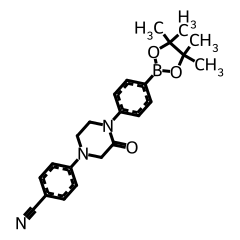 CC1(C)OB(c2ccc(N3CCN(c4ccc(C#N)cc4)CC3=O)cc2)OC1(C)C